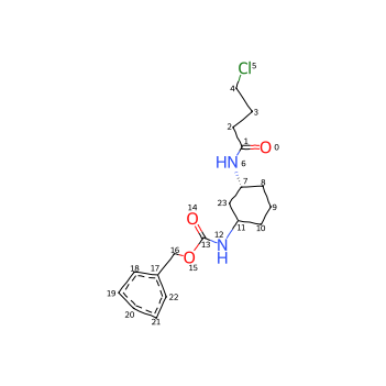 O=C(CCCCl)N[C@@H]1CCCC(NC(=O)OCc2ccccc2)C1